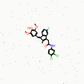 COc1cc(/C=C2/C(C)=C(CC(=O)Nc3ccc(Cl)c(Cl)c3)c3cc(F)ccc32)cc(OC)c1O